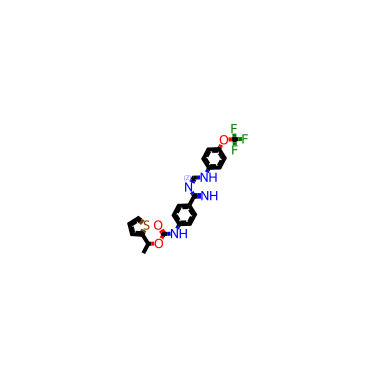 CC(OC(=O)Nc1ccc(C(=N)/N=C\Nc2ccc(OC(F)(F)F)cc2)cc1)c1cccs1